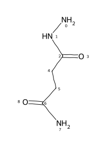 NNC(=O)CCC(N)=O